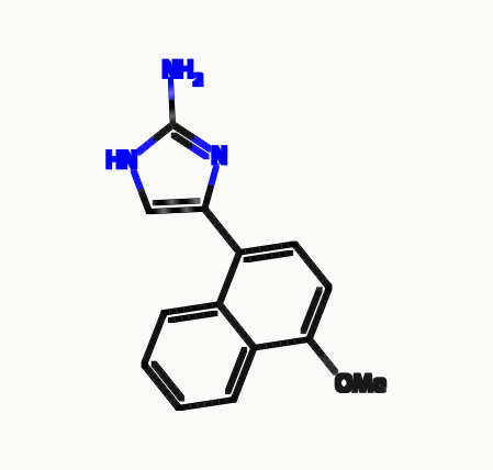 COc1ccc(-c2c[nH]c(N)n2)c2ccccc12